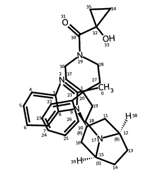 Cc1nc2ccccc2n1[C@H]1C[C@H]2CC[C@@H](C1)N2CCC1(c2ccccc2)CCN(C(=O)C2(O)CC2)CC1